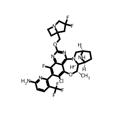 C[C@@H]1Oc2c(Cl)c(-c3nc(N)ccc3C(F)(F)F)c(F)c3nc(OCC45CCN4CC(F)(F)C5)nc(c23)N2C[C@H]3CC[C@H](N3)[C@@H]12